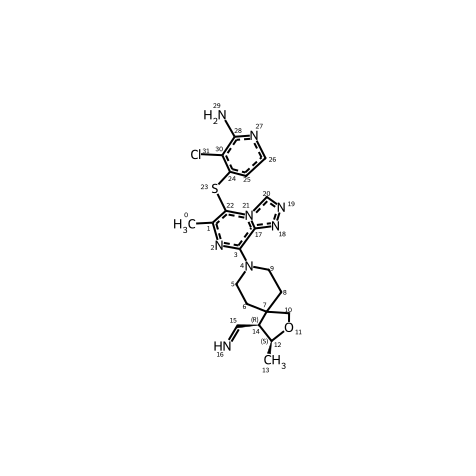 Cc1nc(N2CCC3(CC2)CO[C@@H](C)[C@H]3C=N)c2nncn2c1Sc1ccnc(N)c1Cl